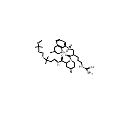 COC(C)(C)CCOC(C)(C)CCNC(=O)C1CC(C)CCN1C(=O)C(CCCNC(=N)N)CS(=O)(=O)c1cccc2c1NCC(C)C2